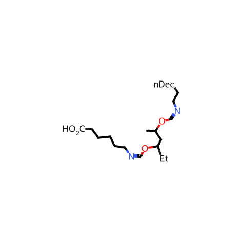 CCCCCCCCCCCC/N=C\OC(C)CC(CC)O/C=N\CCCCCC(=O)O